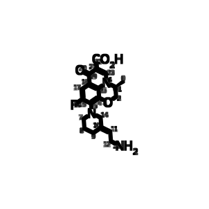 C[C@H]1COc2c(N3CCCC(=CCN)C3)c(F)cc3c(=O)c(C(=O)O)cn1c23